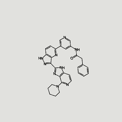 O=C(Cc1ccccc1)Nc1cncc(-c2ccc3[nH]nc(-c4nc5c(N6CCCCC6)nccc5[nH]4)c3n2)c1